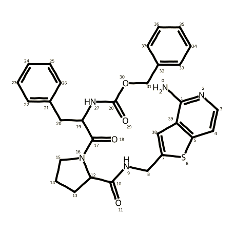 Nc1nccc2sc(CNC(=O)C3CCCN3C(=O)C(Cc3ccccc3)NC(=O)OCc3ccccc3)cc12